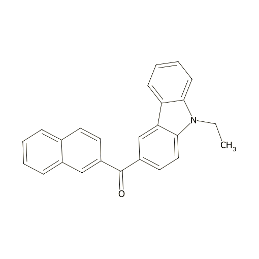 CCn1c2ccccc2c2cc(C(=O)c3ccc4ccccc4c3)ccc21